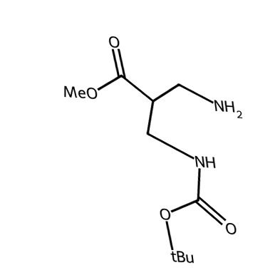 COC(=O)C(CN)CNC(=O)OC(C)(C)C